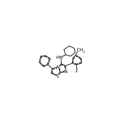 Cc1ccc(F)c(-c2nc3scc(-c4ccccc4)n3c2NC2CCCCC2)c1